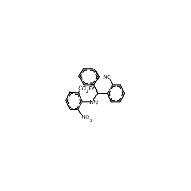 CCOC(=O)c1cccc([N+](=O)[O-])c1NC(c1ccccc1)c1ccccc1C#N